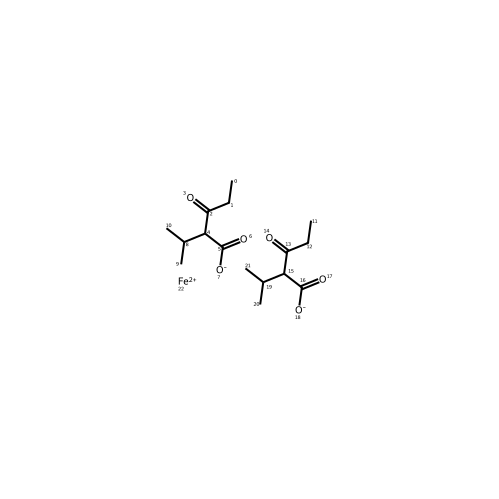 CCC(=O)C(C(=O)[O-])C(C)C.CCC(=O)C(C(=O)[O-])C(C)C.[Fe+2]